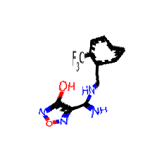 N=C(NCc1ccccc1C(F)(F)F)c1nonc1O